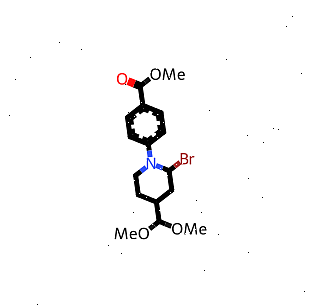 COC(=O)c1ccc(N2CCC(C(OC)OC)CC2Br)cc1